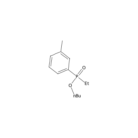 CCCCOP(=O)(CC)c1cccc(C)c1